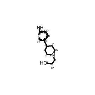 C[C@H](O)CN1CCC(c2ccc(N)cc2)CC1